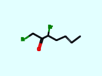 CCCCC(Br)C(=O)CBr